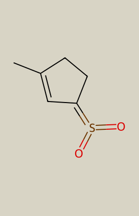 CC1=CC(=S(=O)=O)CC1